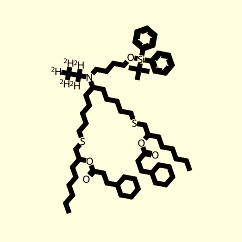 [2H]C([2H])([2H])C([2H])([2H])N(CCCCO[Si](c1ccccc1)(c1ccccc1)C(C)(C)C)C(CCCCCSCC(CCCCCC)OC(=O)CCC1CCCCC1)CCCCCSCC(CCCCCC)OC(=O)CCC1CCCCC1